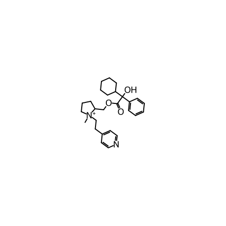 C[N+]1(CCc2ccncc2)CCCC1COC(=O)C(O)(c1ccccc1)C1CCCCC1